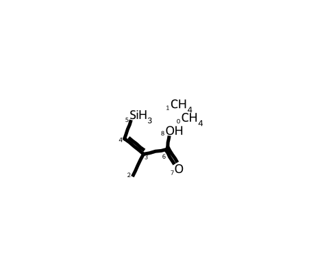 C.C.CC(=C[SiH3])C(=O)O